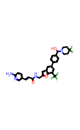 Nc1ccc(/C=C/C(=O)NCc2cc3cc(-c4ccc(C(O)N5CCC(F)(F)CC5)cc4)cc(C(F)(F)F)c3o2)cn1